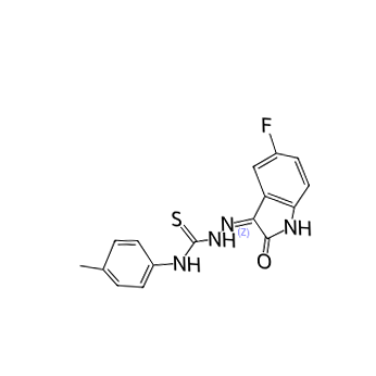 Cc1ccc(NC(=S)N/N=C2\C(=O)Nc3ccc(F)cc32)cc1